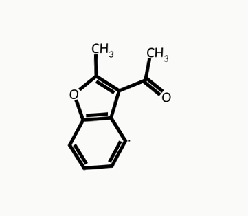 CC(=O)c1c(C)oc2ccc[c]c12